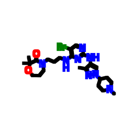 Cc1nn(C2CCN(C)CC2)cc1Nc1ncc(Br)c(NCCCN2CCCOC(C)(C)C2=O)n1